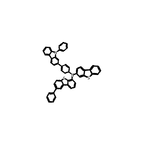 C1=CC(N(c2ccc3c(c2)sc2ccccc23)c2cccc3c2sc2ccc(-c4ccccc4)cc23)CC=C1c1ccc2c3ccccc3n(-c3ccccc3)c2c1